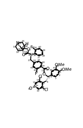 COc1ccc([C@H](Cc2c(Cl)c[n+]([O-])cc2Cl)OC(=O)c2ccc(CN(C(=O)O[C@H]3CN4CCC3CC4)c3ccccc3F)cc2F)cc1OC